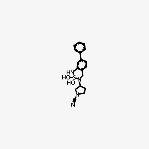 N#CN1CCC(N2Cc3ccc(-c4ccccc4)cc3NS2(O)O)C1